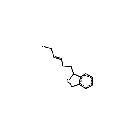 [CH2]CC=CCCC1OCc2ccccc21